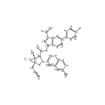 CC(=O)c1nn(CC(=O)N2[C@H]3[C@@H](C)[C@@]3(CC#N)C[C@H]2C(=O)Nc2nc(Br)ccc2C)c2cnc(-c3cnc(C)nc3)cc12